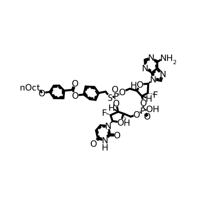 CCCCCCCCOc1ccc(C(=O)Oc2ccc(CSP3(=O)OC[C@H]4O[C@@H](n5cnc6c(N)ncnc65)[C@H](F)[C@@H]4OP(=O)(O)OC[C@H]4O[C@@H](n5ccc(=O)[nH]c5=O)[C@H](F)[C@@H]4O3)cc2)cc1